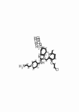 Cc1ccc(OCCCl)c(Cn2c(NC3CCN(CCN)CC3)nc3c2CCC=C3)n1.Cl.Cl.Cl.O.O